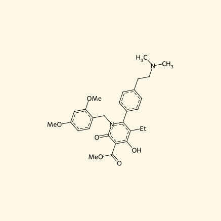 CCc1c(O)c(C(=O)OC)c(=O)n(Cc2ccc(OC)cc2OC)c1-c1ccc(CCN(C)C)cc1